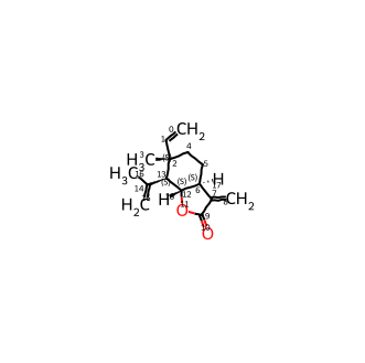 C=C[C@]1(C)CC[C@H]2C(=C)C(=O)O[C@@H]2[C@H]1C(=C)C